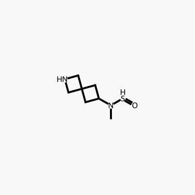 CN([SH]=O)C1CC2(CNC2)C1